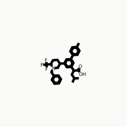 Cc1ccc(-c2cc(C3CCC(C(F)(F)F)N(Cc4ccccc4)C3)cc(C(CC(C)C)C(=O)O)c2)cc1